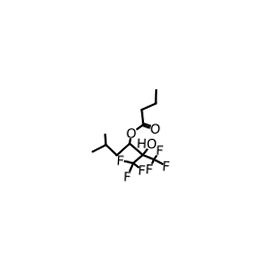 CCCC(=O)OC(CC(C)C)C(O)(C(F)(F)F)C(F)(F)F